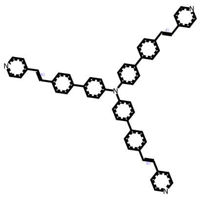 C(=C\c1ccc(-c2ccc(N(c3ccc(-c4ccc(/C=C/c5ccncc5)cc4)cc3)c3ccc(-c4ccc(/C=C/c5ccncc5)cc4)cc3)cc2)cc1)/c1ccncc1